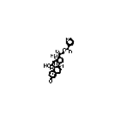 C[C@]12CCC(=O)C=C1CC[C@@H]1[C@@H]2C(O)C[C@@]2(C)[C@H]1CC[C@]2(O)C(=O)COC(=O)c1cccnc1